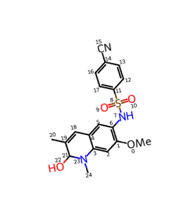 COc1cc2c(cc1NS(=O)(=O)c1ccc(C#N)cc1)C=C(C)C(O)N2C